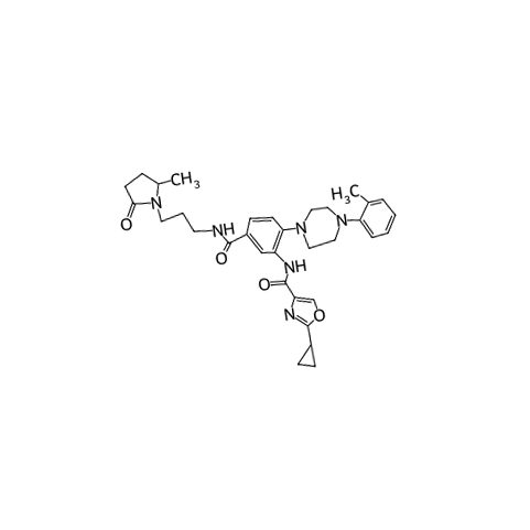 Cc1ccccc1N1CCN(c2ccc(C(=O)NCCCN3C(=O)CCC3C)cc2NC(=O)c2coc(C3CC3)n2)CC1